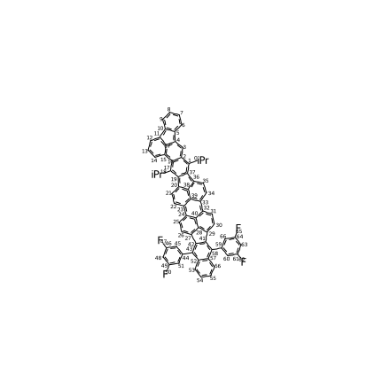 CC(C)c1c2cc3c4ccccc4c4cccc(c2c(C(C)C)c2c5ccc6c7ccc8c9c(ccc(c%10ccc(c12)c5c%106)c97)-c1c-8c(-c2cc(F)cc(F)c2)c2ccccc2c1-c1cc(F)cc(F)c1)c43